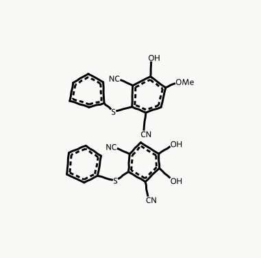 COc1cc(C#N)c(Sc2ccccc2)c(C#N)c1O.N#Cc1cc(O)c(O)c(C#N)c1Sc1ccccc1